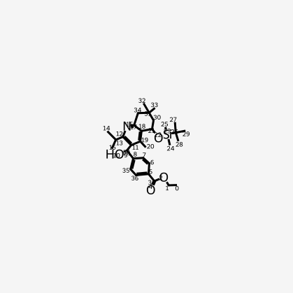 CCOC(=O)c1ccc([C@@H](O)c2c(C(C)C)nc3c(c2C)C(O[Si](C)(C)C(C)(C)C)CC(C)(C)C3)cc1